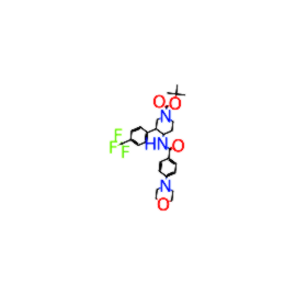 CC(C)(C)OC(=O)N1CCC(NC(=O)c2ccc(N3CCOCC3)cc2)C(c2ccc(C(F)(F)F)cc2)C1